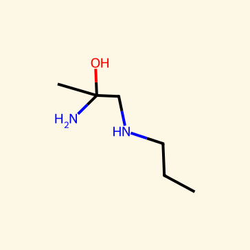 CCCNCC(C)(N)O